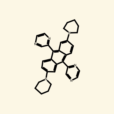 c1cnc(-c2c3ccc(N4CCCCC4)cc3c(-c3cnccn3)c3ccc(N4CCCCC4)cc23)cn1